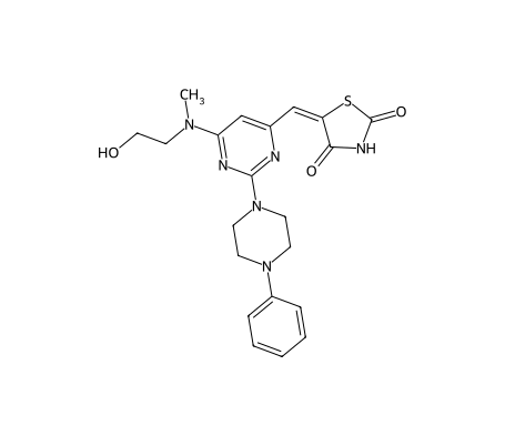 CN(CCO)c1cc(C=C2SC(=O)NC2=O)nc(N2CCN(c3ccccc3)CC2)n1